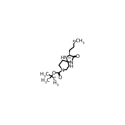 CSCC[C@@H]1NC2(CCN(C(=O)OC(C)(C)C)CC2)NC1=O